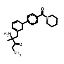 CC(N)(CC1=CC=CC(c2ccc(C(=O)N3CCCCC3)cc2)C1)C(=O)CN